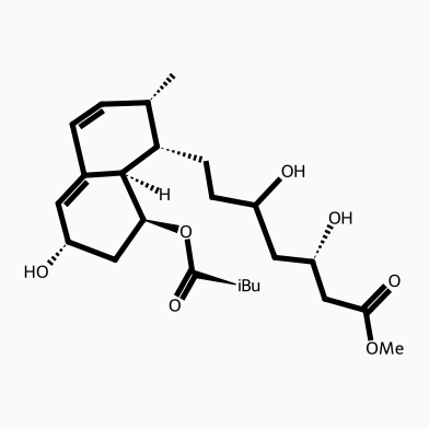 CC[C@H](C)C(=O)O[C@H]1C[C@H](O)C=C2C=C[C@H](C)[C@H](CCC(O)C[C@H](O)CC(=O)OC)[C@H]21